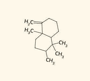 C=C1CCCC2C1(C)CCC(C)C2(C)C